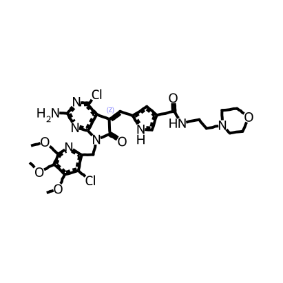 COc1nc(CN2C(=O)/C(=C\c3cc(C(=O)NCCN4CCOCC4)c[nH]3)c3c(Cl)nc(N)nc32)c(Cl)c(OC)c1OC